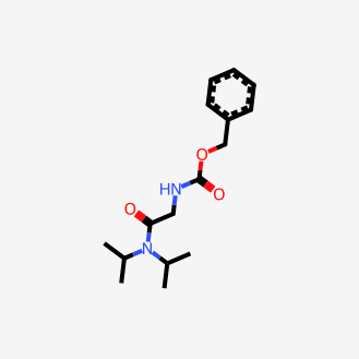 CC(C)N(C(=O)CNC(=O)OCc1ccccc1)C(C)C